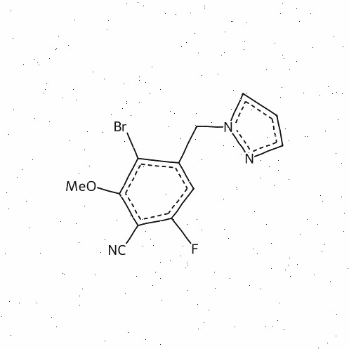 COc1c(Br)c(Cn2cccn2)cc(F)c1C#N